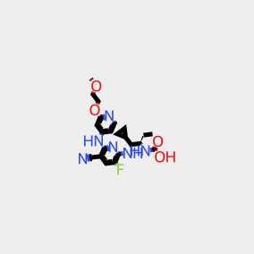 CC[C@H](NC(=O)O)[C@H](Nc1nc(Nc2ccnc(OCCOC)c2)c(C#N)cc1F)C1CC1